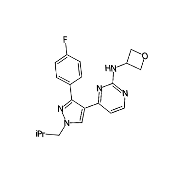 CC(C)Cn1cc(-c2ccnc(NC3COC3)n2)c(-c2ccc(F)cc2)n1